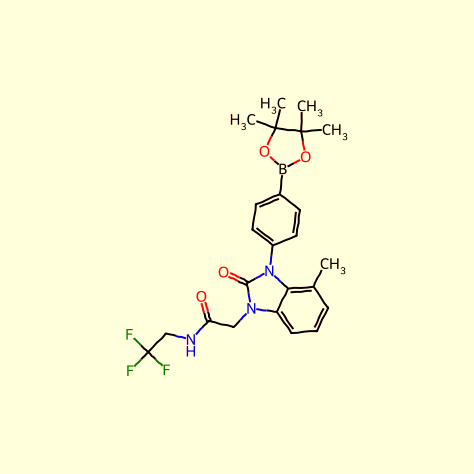 Cc1cccc2c1n(-c1ccc(B3OC(C)(C)C(C)(C)O3)cc1)c(=O)n2CC(=O)NCC(F)(F)F